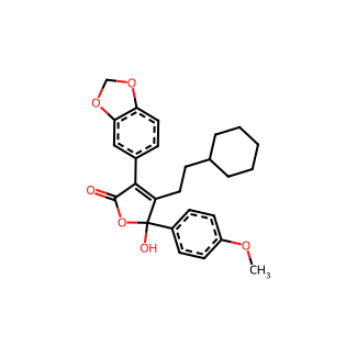 COc1ccc(C2(O)OC(=O)C(c3ccc4c(c3)OCO4)=C2CCC2CCCCC2)cc1